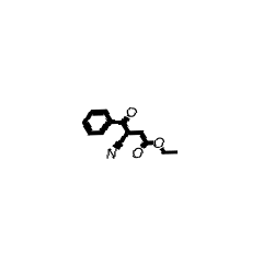 CCOC(=O)CC(C#N)C(=O)c1ccccc1